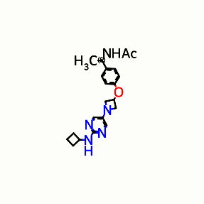 CC(=O)N[C@@H](C)c1ccc(OC2CN(c3cnc(NC4CCC4)nc3)C2)cc1